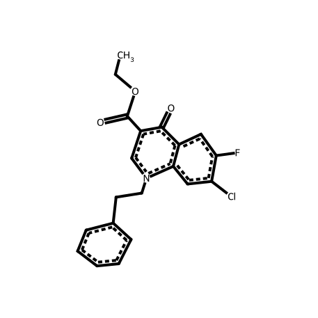 CCOC(=O)c1cn(CCc2ccccc2)c2cc(Cl)c(F)cc2c1=O